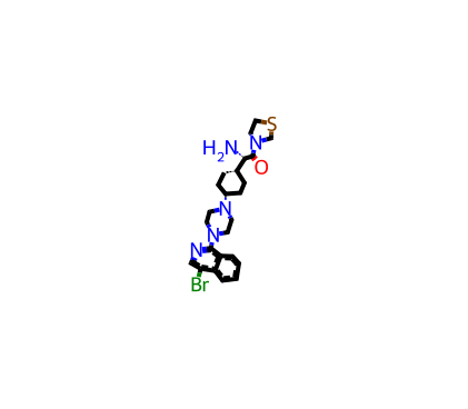 N[C@H](C(=O)N1CCSC1)[C@H]1CC[C@@H](N2CCN(c3ncc(Br)c4ccccc34)CC2)CC1